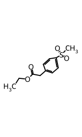 CCOC(=O)Cc1ccc(S(C)(=O)=O)cc1